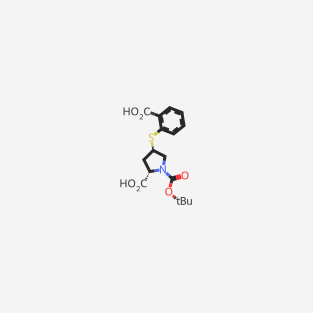 CC(C)(C)OC(=O)N1C[C@H](Sc2ccccc2C(=O)O)C[C@H]1C(=O)O